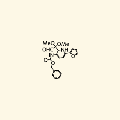 COC(C=O)(OC)C1NC(c2ccco2)=CC=C1NC(=O)OCc1ccccc1